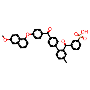 COc1ccc2c(Oc3ccc(C(=O)c4ccc(-c5ccc(C)cc5C(=O)c5cccc(S(=O)(=O)O)c5)cc4)cc3)cccc2c1